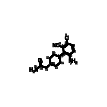 N#Cc1c(Cl)ccc(N)c1N1CCN(CC(N)=O)CC1